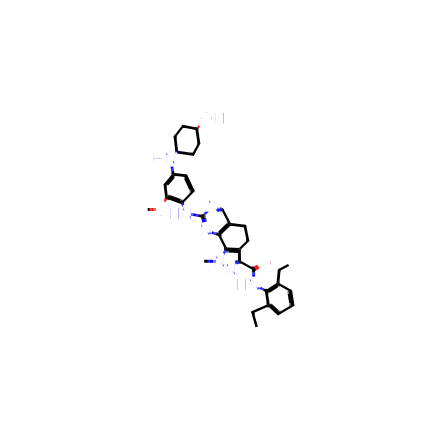 CCc1cccc(CC)c1NC(=O)c1nn(C)c2c1CCc1cnc(Nc3ccc(NC4CCC(O)CC4)cc3OC)nc1-2